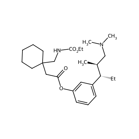 CCOC(=O)NCC1(CC(=O)Oc2cccc([C@@H](CC)[C@@H](C)CN(C)C)c2)CCCCC1